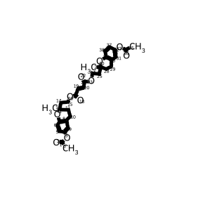 CC(=O)Oc1ccc2c(c1)CCC(C)(CCOC(=O)C=CC(=O)OCCC1(C)CCc3cc(OC(C)=O)ccc3O1)O2